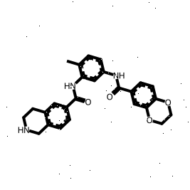 Cc1ccc(NC(=O)c2ccc3c(c2)OCCO3)cc1NC(=O)c1ccc2c(c1)CCNC2